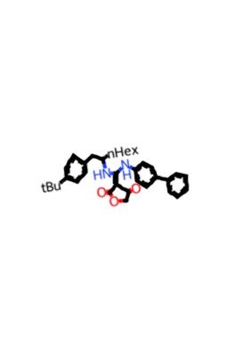 CCCCCCC(Cc1ccc(C(C)(C)C)cc1)NC(Nc1ccc(-c2ccccc2)cc1)=C1C(=O)COC1=O